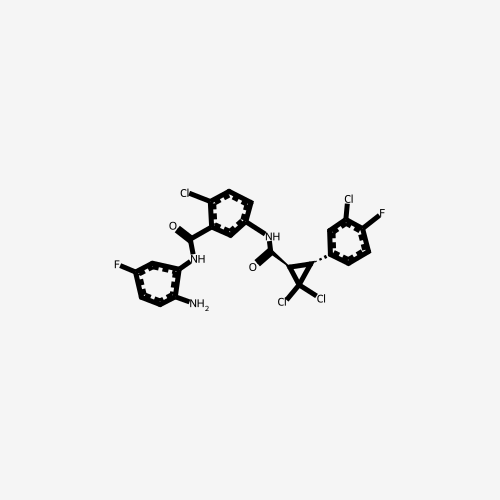 Nc1ccc(F)cc1NC(=O)c1cc(NC(=O)[C@H]2[C@H](c3ccc(F)c(Cl)c3)C2(Cl)Cl)ccc1Cl